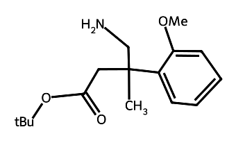 COc1ccccc1C(C)(CN)CC(=O)OC(C)(C)C